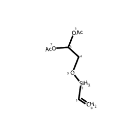 C=C[SiH2]OCC(OC(C)=O)OC(C)=O